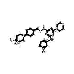 CC1(C)CCN(c2ccc(/C=N/Nc3nc(Nc4cccc(O)c4)nc(N4CCOCC4)n3)cc2)CC1